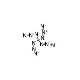 [N-]=[N+]=NC(N=[N+]=[N-])(N=[N+]=[N-])N=[N+]=[N-]